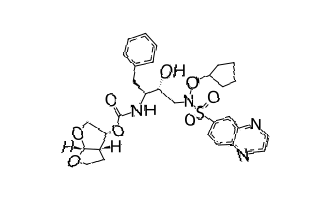 O=C(N[C@@H](Cc1ccccc1)[C@H](O)CN(OC1CCCC1)S(=O)(=O)c1ccc2nccnc2c1)O[C@H]1CO[C@H]2OCC[C@H]21